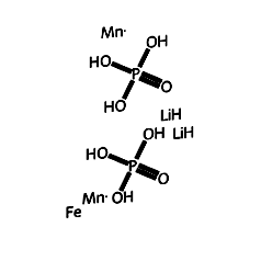 O=P(O)(O)O.O=P(O)(O)O.[Fe].[LiH].[LiH].[Mn].[Mn]